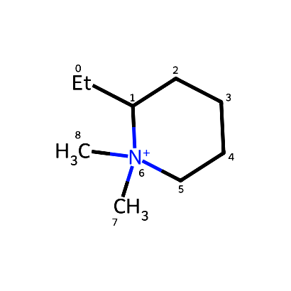 CCC1CCCC[N+]1(C)C